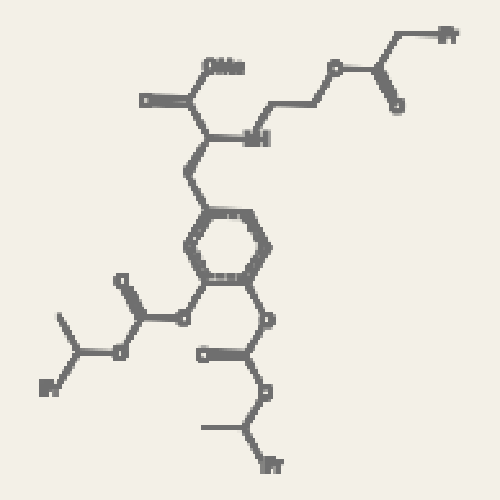 COC(=O)[C@H](Cc1ccc(OC(=O)OC(C)C(C)C)c(OC(=O)OC(C)C(C)C)c1)NCCOC(=O)CC(C)C